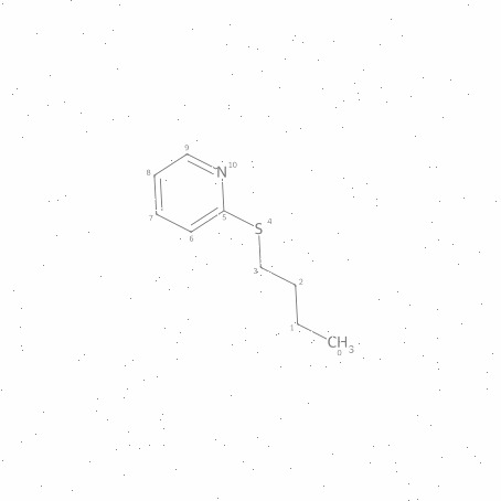 CCCCSc1ccccn1